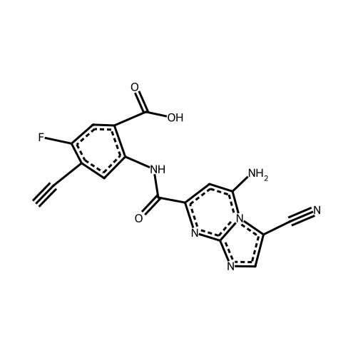 C#Cc1cc(NC(=O)c2cc(N)n3c(C#N)cnc3n2)c(C(=O)O)cc1F